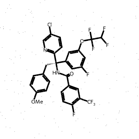 COc1ccc(C[C@@](NC(=O)c2ccc(F)c(C(F)(F)F)c2)(c2cc(F)cc(OC(F)(F)C(F)F)c2)c2ccc(Cl)cn2)cc1